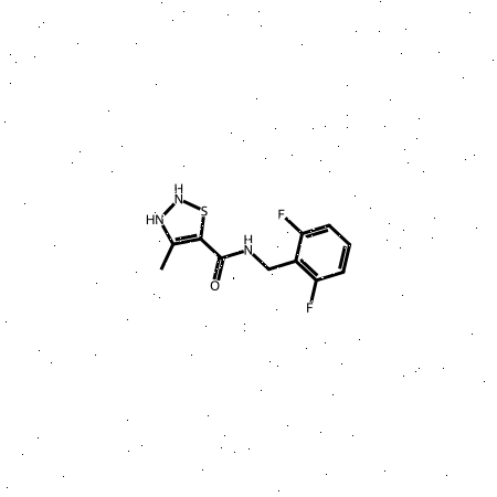 CC1=C(C(=O)NCc2c(F)cccc2F)SNN1